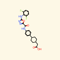 O=C(O)CC1CCC(c2ccc(NC(=O)c3nnc(Nc4c(F)cccc4F)o3)cc2)CC1